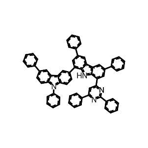 c1ccc(-c2cc(-c3ccc4c(c3)c3cc(-c5ccccc5)ccc3n4-c3ccccc3)c3[nH]c4c(-c5cc(-c6ccccc6)nc(-c6ccccc6)n5)cc(-c5ccccc5)cc4c3c2)cc1